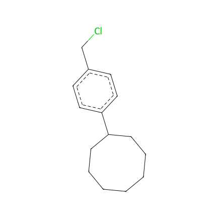 ClCc1ccc(C2CCCCCCC2)cc1